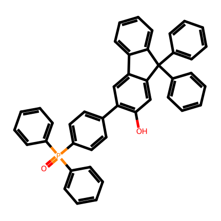 O=P(c1ccccc1)(c1ccccc1)c1ccc(-c2cc3c(cc2O)C(c2ccccc2)(c2ccccc2)c2ccccc2-3)cc1